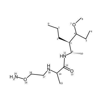 CCC[C@@H](C(CC)OC)[C@H](C)NC(=O)C(C)NCCON